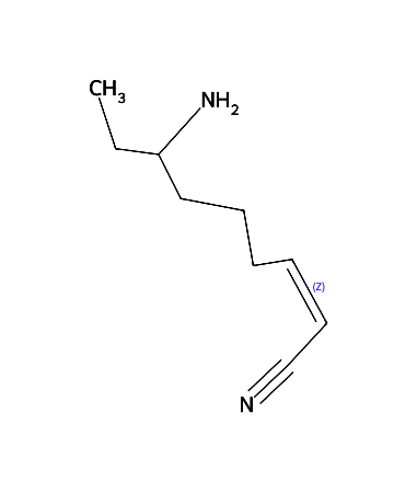 CCC(N)CCC/C=C\C#N